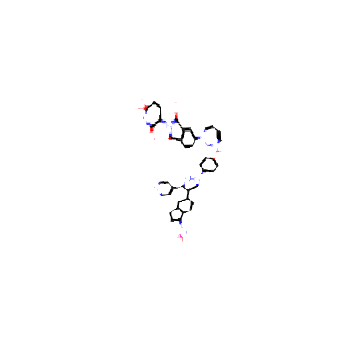 O=C1CCC(N2C(=O)c3ccc(N4C=CC=CN(Oc5ccc(-n6cc(-c7ccc8c(c7)CC/C8=N\O)c(-c7ccncc7)n6)cc5)C4)cc3C2=O)C(=O)N1